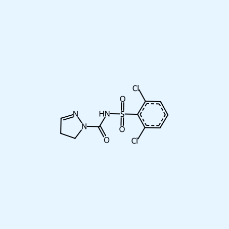 O=C(NS(=O)(=O)c1c(Cl)cccc1Cl)N1CCC=N1